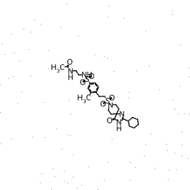 CC(=O)NCCNS(=O)(=O)c1ccc(CCS(=O)(=O)N2CCC3(CC2)N=C(C2CCCCC2)NC3=O)c(C)c1